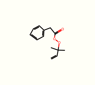 C=CC(C)(C)OOC(=O)Cc1ccccc1